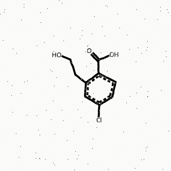 O=C(O)c1ccc(Cl)cc1CCO